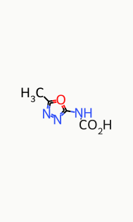 Cc1nnc(NC(=O)O)o1